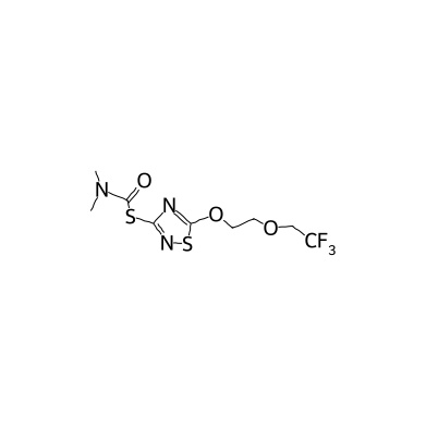 CN(C)C(=O)Sc1nsc(OCCOCC(F)(F)F)n1